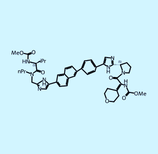 CCCN(Cc1ncc(-c2ccc3cc(-c4ccc(-c5cnc([C@@H]6CCCN6C(=O)C(NC(=O)OC)=C6CCOCC6)[nH]5)cc4)ccc3c2)[nH]1)C(=O)[C@@H](NC(=O)OC)C(C)C